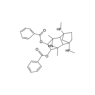 CPC12CCC(PC)(C1)C1C2C2(C)NC1(C)C(OC(=O)c1ccccc1)C2OC(=O)c1ccccc1